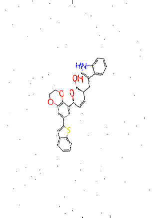 O=C(/C=C\[C@@H](CO)Cc1c[nH]c2ccccc12)c1cc(-c2cc3ccccc3s2)cc2c1OCCO2